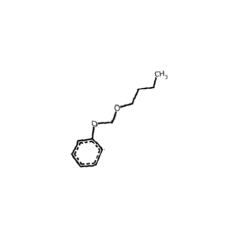 CCCCOCOc1[c]cccc1